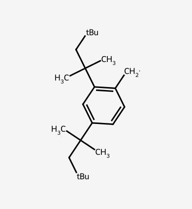 [CH2]c1ccc(C(C)(C)CC(C)(C)C)cc1C(C)(C)CC(C)(C)C